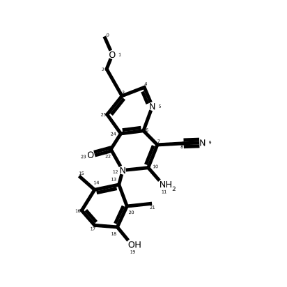 COCc1cnc2c(C#N)c(N)n(-c3c(C)ccc(O)c3C)c(=O)c2c1